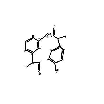 CC(C=O)c1ccc(O)cc1.CC(C=O)c1cccc(O)c1